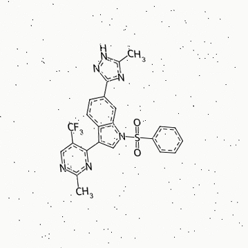 Cc1ncc(C(F)(F)F)c(-c2cn(S(=O)(=O)c3ccccc3)c3cc(-c4n[nH]c(C)n4)ccc23)n1